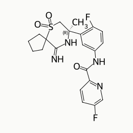 C[C@@]1(c2cc(NC(=O)c3ccc(F)cn3)ccc2F)CS(=O)(=O)C2(CCCC2)C(=N)N1